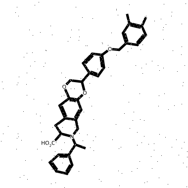 Cc1ccc(COc2ccc(C3COc4cc5c(cc4O3)CN(C(C)c3ccccc3)C(C(=O)O)C5)cc2)cc1C